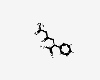 CC(=O)CC(=O)CC(C(C)=O)c1ccccc1